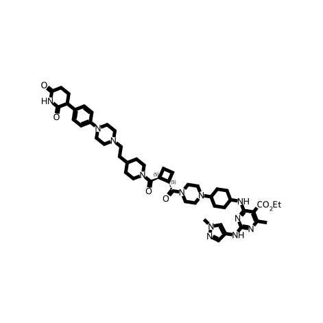 CCOC(=O)c1c(C)nc(Nc2cnn(C)c2)nc1NC1CCC(N2CCN(C(=O)[C@H]3CC[C@@H]3C(=O)N3CCC(CCN4CCN(c5ccc(C6CCC(=O)NC6=O)cc5)CC4)CC3)CC2)CC1